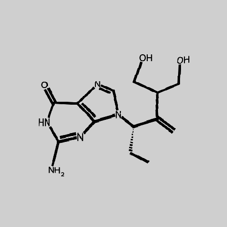 C=C(C(CO)CO)[C@H](CC)n1cnc2c(=O)[nH]c(N)nc21